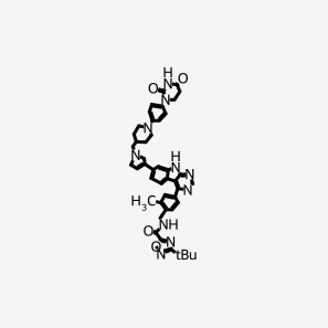 Cc1cc(-c2ncnc3[nH]c4cc(C5=CCN(CC6CCN(c7ccc(N8CCC(=O)NC8=O)cc7)CC6)C5)ccc4c23)ccc1CNC(=O)c1nc(C(C)(C)C)no1